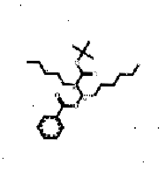 CCCCCC[C@H](OC(=O)c1ccccc1)[C@@H](CCCCC)C(=O)OC(C)(C)C